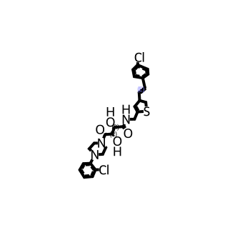 O=C(NCC1=CC(/C=C/c2ccc(Cl)cc2)CS1)[C@H](O)[C@@H](O)C(=O)N1CCN(c2ccccc2Cl)CC1